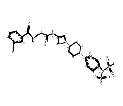 Cc1cccc(C(=O)NCC(=O)NC2CN([C@H]3CC[C@@H](c4ccc(N(S(C)(=O)=O)S(C)(=O)=O)cn4)CC3)C2)c1